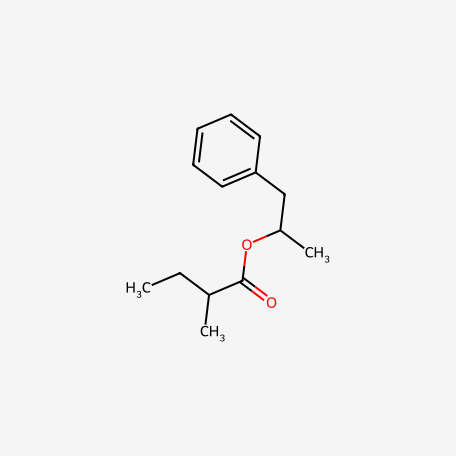 CCC(C)C(=O)OC(C)Cc1ccccc1